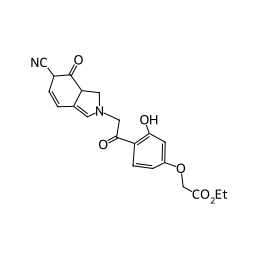 CCOC(=O)COc1ccc(C(=O)CN2C=C3C=CC(C#N)C(=O)C3C2)c(O)c1